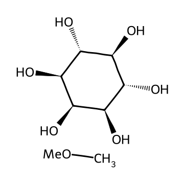 COC.O[C@H]1[C@H](O)[C@@H](O)[C@H](O)[C@@H](O)[C@H]1O